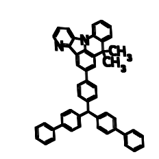 CC1(C)c2ccccc2-n2c3cccnc3c3cc(-c4ccc(C(c5ccc(-c6ccccc6)cc5)c5ccc(-c6ccccc6)cc5)cc4)cc1c32